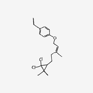 CCc1ccc(OCC=C(C)CCC2C(C)(C)C2(Cl)Cl)cc1